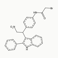 O=C(CBr)Nc1ccc(C(C[N+](=O)[O-])c2c(-c3ccccc3)[nH]c3ccccc23)cc1